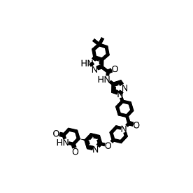 CC1(C)CCc2c(C(=O)Nc3cnn(C4CCC(C(=O)N5CCC(Oc6ccc([C@H]7CCC(=O)NC7=O)cn6)CC5)CC4)c3)n[nH]c2C1